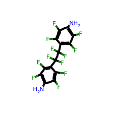 Nc1c(F)c(F)c(C(F)(F)C(F)(F)c2c(F)c(F)c(N)c(F)c2F)c(F)c1F